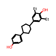 CCc1cc(C2CCC(c3ccc(O)cc3)CC2)cc(CC)c1O